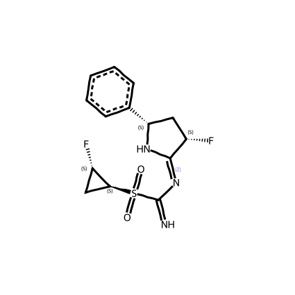 N=C(/N=C1\N[C@H](c2ccccc2)C[C@@H]1F)S(=O)(=O)[C@H]1C[C@@H]1F